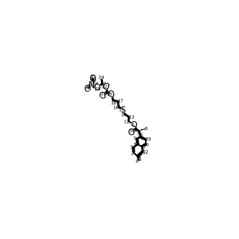 Cc1ccc2cc([C@H](C)C(=O)OCCCSCCCOC(=O)OC(C)O[N+](=O)[O-])ccc2c1